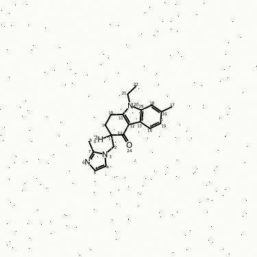 [2H]C1(Cn2ccnc2C)CCc2c(c3ccc(C)cc3n2CC)C1=O